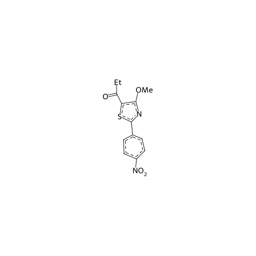 CCC(=O)c1sc(-c2ccc([N+](=O)[O-])cc2)nc1OC